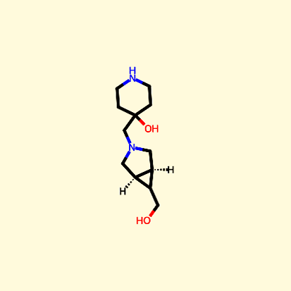 OCC1[C@H]2CN(CC3(O)CCNCC3)C[C@@H]12